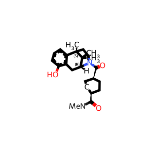 CNC(=O)[C@H]1CC[C@@H](C(=O)N2CC[C@@]3(C)c4cccc(O)c4C[C@@H]2C3(C)C)CC1